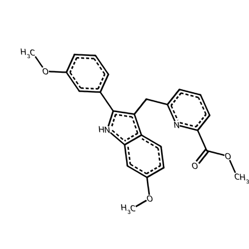 COC(=O)c1cccc(Cc2c(-c3cccc(OC)c3)[nH]c3cc(OC)ccc23)n1